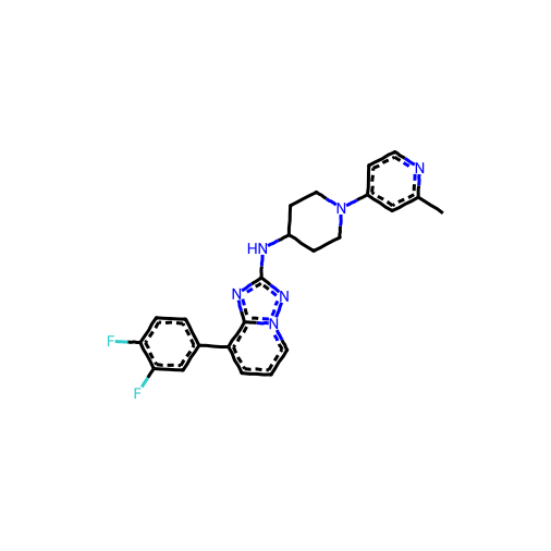 Cc1cc(N2CCC(Nc3nc4c(-c5ccc(F)c(F)c5)cccn4n3)CC2)ccn1